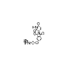 CC(C)N[C@H]1C[C@H](Oc2ccc3c(c2)C(=O)N(C2CCC(=O)NC2=O)C3=O)C1